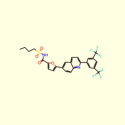 CCCCS(=O)(=O)NC(=O)c1ccc(-c2ccc3nc(-c4cc(C(F)(F)F)cc(C(F)(F)F)c4)ccc3c2)o1